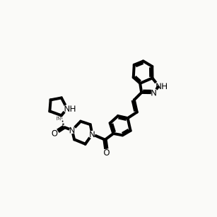 O=C(c1ccc(C=Cc2n[nH]c3ccccc23)cc1)N1CCN(C(=O)[C@@H]2CCCN2)CC1